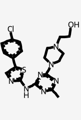 Cc1nc(Nc2ncc(-c3ccc(Cl)cc3)s2)nc(N2CCN(CCO)CC2)n1